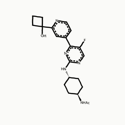 CC(=O)N[C@H]1CC[C@H](Nc2ncc(F)c(-c3ccnc(C4(O)CCC4)c3)n2)CC1